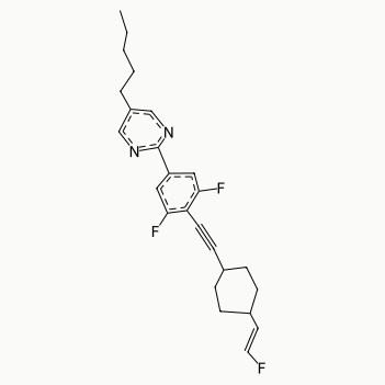 CCCCCc1cnc(-c2cc(F)c(C#CC3CCC(C=CF)CC3)c(F)c2)nc1